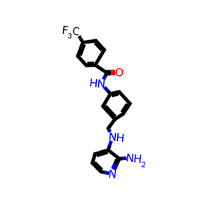 Nc1ncccc1NCc1cccc(NC(=O)c2ccc(C(F)(F)F)cc2)c1